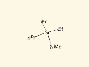 CCC[Si](CC)(NC)C(C)C